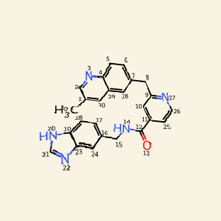 Cc1cnc2ccc(Cc3cc(C(=O)NCc4ccc5[nH]cnc5c4)ccn3)cc2c1